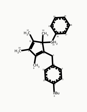 CCCCc1ccc(CC2=C(C)C(C)=C(C)C2(C)[SiH2]c2ccccc2)cc1